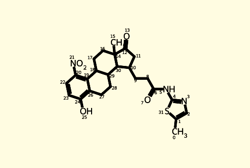 Cc1cnc(NC(=O)CCC2CC(=O)C3(C)CCC4c5c([N+](=O)[O-])ccc(O)c5CCC4C23)s1